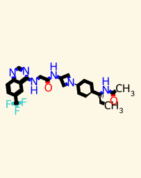 CC[C@H](NC(C)=O)[C@H]1CC[C@H](N2CC(NC(=O)CNc3ncnc4ccc(C(F)(F)F)cc34)C2)CC1